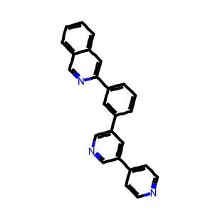 c1cc(-c2cncc(-c3ccncc3)c2)cc(-c2cc3ccccc3cn2)c1